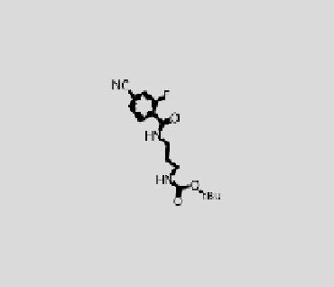 CC(C)(C)OC(=O)NCCCNC(=O)c1ccc(C#N)cc1F